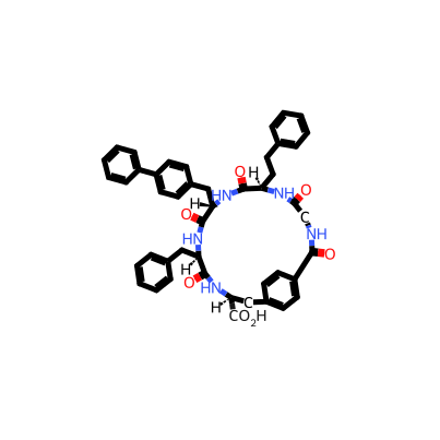 O=C1CNC(=O)c2ccc(cc2)C[C@@H](C(=O)O)NC(=O)[C@@H](Cc2ccccc2)NC(=O)[C@H](Cc2ccc(-c3ccccc3)cc2)NC(=O)[C@@H](CCc2ccccc2)N1